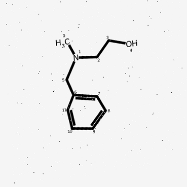 CN(CCO)Cc1cc[c]cc1